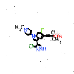 CN1CCC(n2cc(-c3c[nH]nc3Cl)c3cc(C#CC(C)(C)O)c(F)cc32)CC1